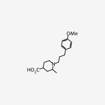 COc1ccc(CCCN2CCC(C(=O)O)CC2C)cc1